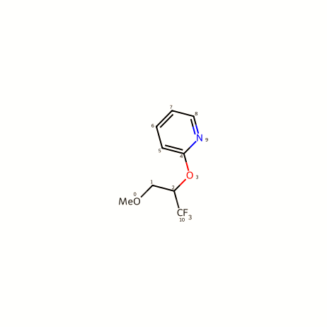 COCC(Oc1ccccn1)C(F)(F)F